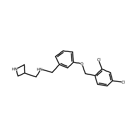 Clc1ccc(COc2cccc(CNCC3CNC3)c2)c(Cl)c1